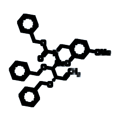 C=C[C@H](OCc1ccccc1)[C@H](CN(Cc1ccc(OC)cc1OC)C(=O)OCc1ccccc1)OCc1ccccc1